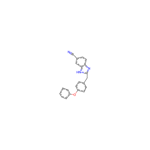 N#Cc1ccc2nc(Cc3ccc(Oc4ccccc4)cc3)[nH]c2c1